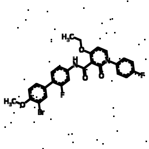 CCOc1ccn(-c2ccc(F)cc2)c(=O)c1C(=O)Nc1ccc(-c2ccc(OC)c(Br)c2)c(F)c1